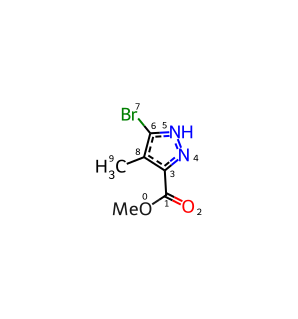 COC(=O)c1n[nH]c(Br)c1C